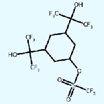 O=S(=O)(OC1CC(C(O)(C(F)(F)F)C(F)(F)F)CC(C(O)(C(F)(F)F)C(F)(F)F)C1)C(F)(F)F